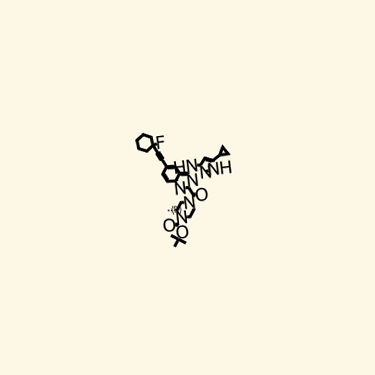 C[C@@H]1CN(C(=O)c2nc(Nc3cc(C4CC4)[nH]n3)c3cc(C#CC4(F)CCCCC4)ccc3n2)CCN1C(=O)OC(C)(C)C